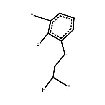 Fc1cccc([CH]CC(F)F)c1F